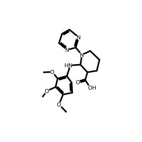 COc1ccc(NC2C(C(=O)O)CCCN2c2ncccn2)c(OC)c1OC